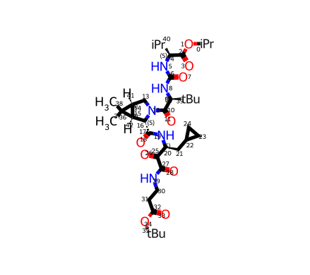 CC(C)OC(=O)[C@@H](NC(=O)N[C@H](C(=O)N1C[C@H]2[C@@H]([C@H]1C(=O)N[C@@H](CC1CC1)C(=O)C(=O)NCCC(=O)OC(C)(C)C)C2(C)C)C(C)(C)C)C(C)C